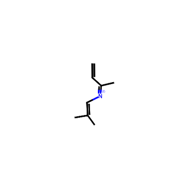 C=C/C(C)=N\C=C(C)C